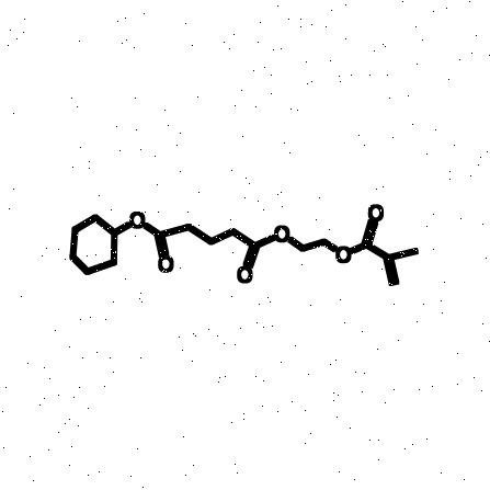 C=C(C)C(=O)OCCOC(=O)CCCC(=O)OC1CCCCC1